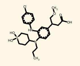 CCCN(c1ccc(C(COC)CC(=O)O)cc1Nc1ccc(Cl)cc1)C1CCS(O)(O)CC1